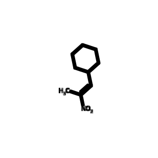 CC(=CC1CCCCC1)[N+](=O)[O-]